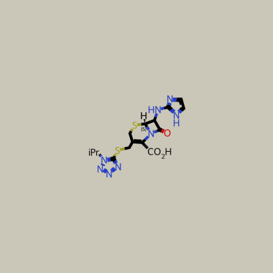 CC(C)n1nnnc1SCC1=C(C(=O)O)N2C(=O)C(Nc3ncc[nH]3)[C@@H]2SC1